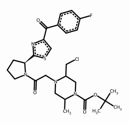 CC1CN(CC(=O)N2CCC[C@H]2c2nc(C(=O)c3ccc(F)cc3)cs2)C(CCl)CN1C(=O)OC(C)(C)C